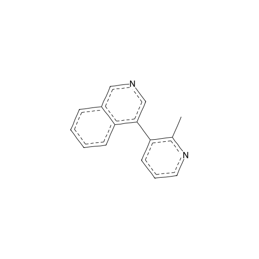 Cc1ncccc1-c1cncc2ccccc12